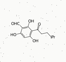 CC(C)CCC(=O)c1c(O)cc(O)c(C=O)c1O